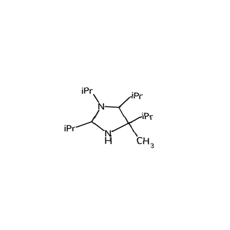 CC(C)C1NC(C)(C(C)C)C(C(C)C)N1C(C)C